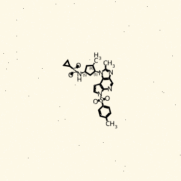 Cc1ccc(S(=O)(=O)n2ccc3c2ncc2nc(C)n([C@H]4C[C@@H](NS(=O)(=O)C5CC5)C[C@H]4C)c23)cc1